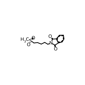 CS(=O)(=O)CCCCCN1C(=O)c2ccccc2C1=O